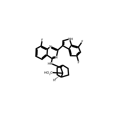 O=C(O)[C@@H]1C2CCC(CC2)C1Nc1nc(-c2c[nH]c3c(F)cc(F)cc23)nc2c(F)cccc12